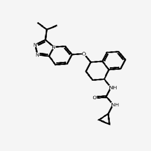 CC(C)c1nnc2ccc(OC3CCC(NC(=O)NC4CC4)c4ccccc43)cn12